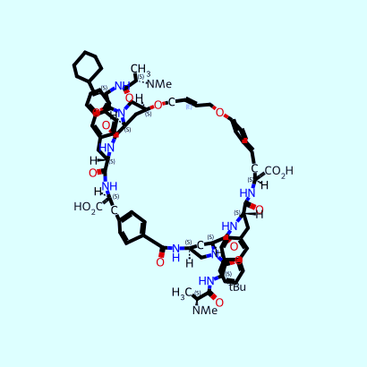 CN[C@@H](C)C(=O)N[C@@H](CC1CCCCC1)C(=O)N1C[C@@H]2C[C@H]1C(=O)N[C@@H](Cc1ccc3ccccc3c1)C(=O)N[C@H](C(=O)O)Cc1ccc(cc1)C(=O)N[C@H]1C[C@@H](C(=O)N[C@@H](Cc3ccc4ccccc4c3)C(=O)N[C@H](C(=O)O)Cc3ccc(cc3)OC/C=C/CO2)N(C(=O)[C@@H](NC(=O)[C@H](C)NC)C(C)(C)C)C1